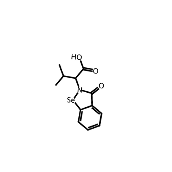 CC(C)C(C(=O)O)n1[se]c2ccccc2c1=O